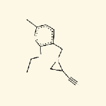 CCOc1nc(C)ccc1CN1CC1C#N